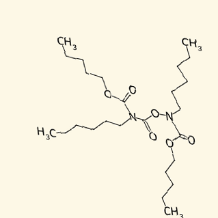 CCCCCCN(OC(=O)N(CCCCCC)C(=O)OCCCCC)C(=O)OCCCCC